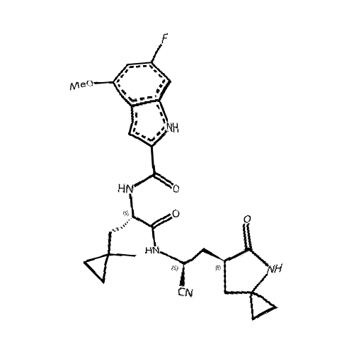 COc1cc(F)cc2[nH]c(C(=O)N[C@@H](CC3(C)CC3)C(=O)N[C@H](C#N)C[C@@H]3CC4(CC4)NC3=O)cc12